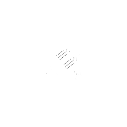 [C-]#N.[C-]#N.[Cu+].[Na+]